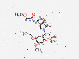 CCOc1cc(C(CS(C)(=O)=O)N2Cc3c(NC(=O)COC)csc3C2=O)ccc1OC